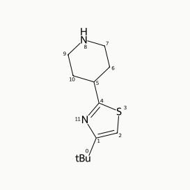 CC(C)(C)c1csc(C2CCNCC2)n1